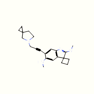 CNC1=Nc2cc(C#CCN3CCC4(CC4)C3)c(NC)cc2C12CCC2